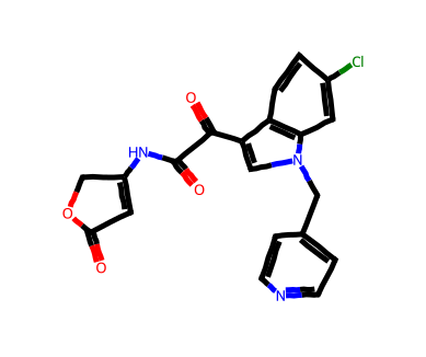 O=C1C=C(NC(=O)C(=O)c2cn(Cc3ccncc3)c3cc(Cl)ccc23)CO1